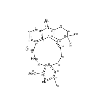 CCN(c1cccc2c1CC=CCCc1cc(C)nc(OC)c1CNC2=O)C1CCC(F)(F)CC1